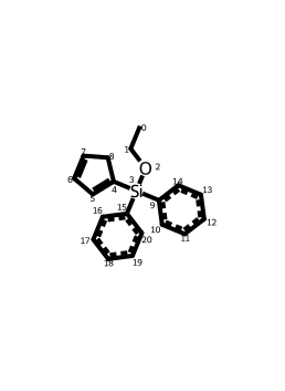 CCO[Si](C1=CC=CC1)(c1ccccc1)c1ccccc1